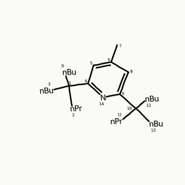 CCCCC(CCC)(CCCC)c1cc(C)cc(C(CCC)(CCCC)CCCC)n1